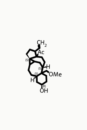 C=CC1CC[C@@]23C4CC[C@H]5C[C@H](O)CCC5(COC)[C@@H](CCC12C(C)=O)CC43